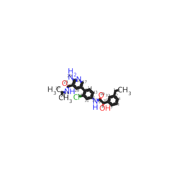 CCc1cccc(C(O)C(=O)Nc2ccc(-c3cnc(N)c(C(=O)NC(C)C)c3)c(Cl)c2)c1